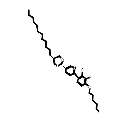 CCCCCCCCCCCC[C@H]1CO[C@H](c2ccc(-c3ccc(OCCCCCC)c(F)c3F)nc2)OC1